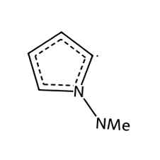 CNn1[c]ccc1